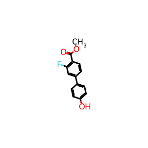 COC(=O)c1ccc(-c2ccc(O)cc2)cc1F